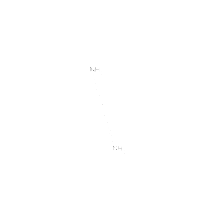 NCCCCCCCCCCCCCCCCCCCCCCCCCCCCCCCCCCCN